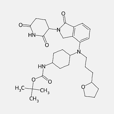 CC(C)(C)OC(=O)NC1CCC(N(CCCC2CCCO2)c2cccc3c2CN(C2CCC(=O)NC2=O)C3=O)CC1